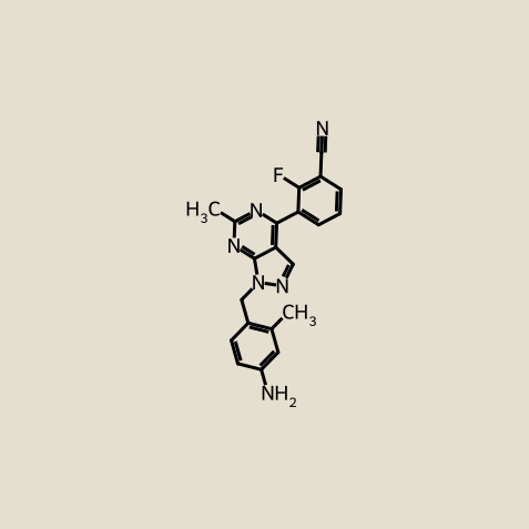 Cc1nc(-c2cccc(C#N)c2F)c2cnn(Cc3ccc(N)cc3C)c2n1